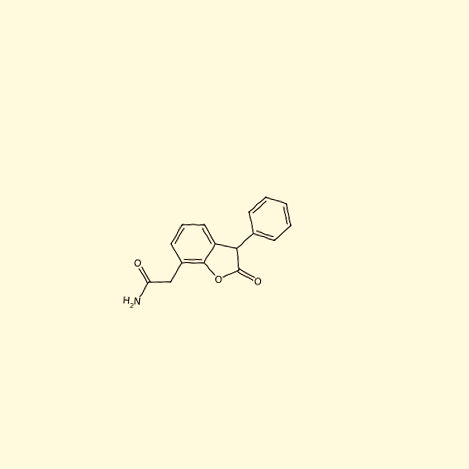 NC(=O)Cc1cccc2c1OC(=O)C2c1ccccc1